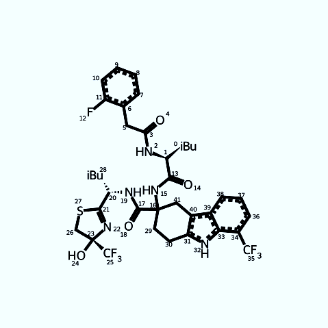 CC[C@H](C)[C@H](NC(=O)Cc1ccccc1F)C(=O)NC1(C(=O)N[C@H](C2=N[C@@](O)(C(F)(F)F)CS2)[C@@H](C)CC)CCc2[nH]c3c(C(F)(F)F)cccc3c2C1